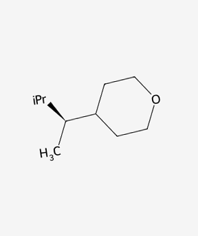 CC(C)[C@H](C)C1CCOCC1